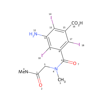 CNC(=O)CN(C)C(=O)c1c(I)c(N)c(I)c(C(=O)O)c1I